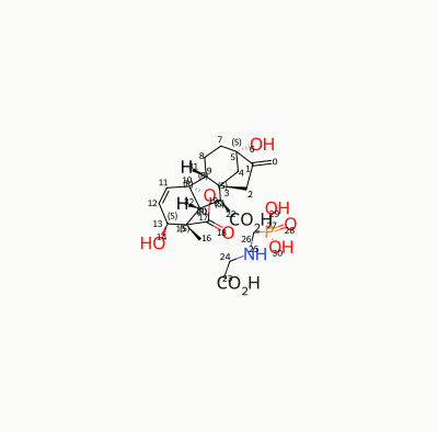 C=C1C[C@]23C[C@@]1(O)CC[C@H]2[C@@]12C=C[C@H](O)[C@@](C)(C(=O)O1)[C@H]2[C@@H]3C(=O)O.O=C(O)CNCP(=O)(O)O